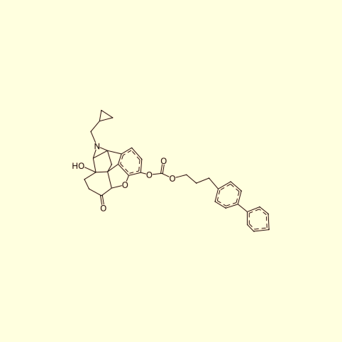 O=C(OCCCc1ccc(-c2ccccc2)cc1)Oc1ccc2c3c1OC1C(=O)CCC4(O)C5N(CC6CC6)C25CC314